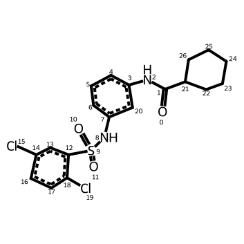 O=C(Nc1cccc(NS(=O)(=O)c2cc(Cl)ccc2Cl)c1)C1CCCCC1